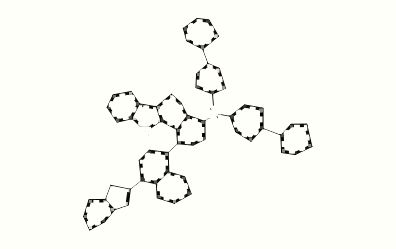 C1=C(c2ccc(-c3ccc(N(c4ccc(-c5ccccc5)cc4)c4ccc(-c5ccccc5)cc4)c4ccc5c6ccccc6sc5c34)c3ccccc23)Cc2ccccc21